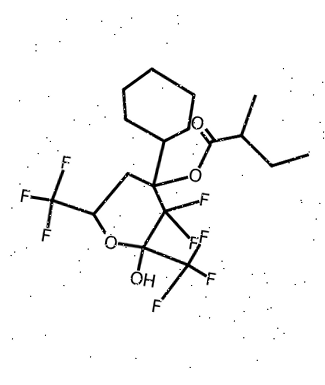 CCC(C)C(=O)OC1(C2CCCCC2)CC(C(F)(F)F)OC(O)(C(F)(F)F)C1(F)F